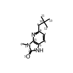 Cn1c(=O)[nH]c2ccc(CC(C)(C)C)nc21